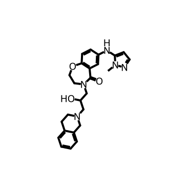 Cn1nccc1Nc1ccc2c(c1)C(=O)N(CC(O)CN1CCc3ccccc3C1)CCO2